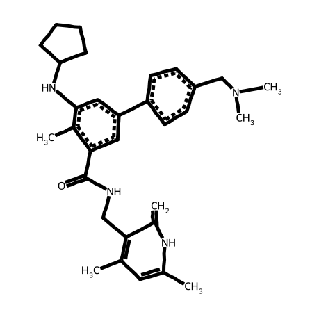 C=C1NC(C)=CC(C)=C1CNC(=O)c1cc(-c2ccc(CN(C)C)cc2)cc(NC2CCCC2)c1C